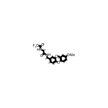 COc1ccc(Oc2ccc(CNC(=O)CNC(=O)C(F)(F)F)cc2)c(Cl)c1